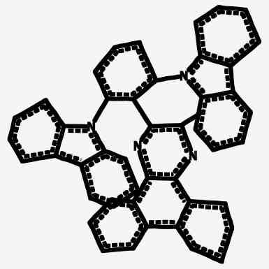 Cc1nc2c3ccccc3c3ccccc3c2nc1-c1c(-n2c3ccccc3c3ccccc32)cccc1-n1c2ccccc2c2ccccc21